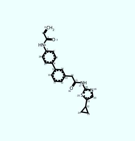 C=CC(=O)Nc1ccc(-c2cccc(CC(=O)Nc3ncc(C4CC4)s3)c2)cc1